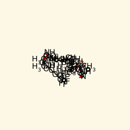 CC[C@H](C)[C@@H]([C@@H](CC(=O)N1CCC[C@H]1[C@H](OC)C(C)C(=O)N[C@@H](Cc1ccccc1)c1nccs1)OC)N(C)C(=O)[C@@H](NC(=O)C(C)(C)NC(=O)OCc1ccc(NC(=O)[C@H](CC(N)=O)NC(=O)[C@H](C)NC(=O)[C@H](C)NC(=O)CCOCCOCCC(=O)Oc2c(F)c(F)c(F)c(F)c2F)cc1)C(C)C